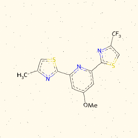 COc1cc(-c2nc(C)cs2)nc(-c2nc(C(F)(F)F)cs2)c1